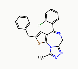 Cc1nnc2n1-c1sc(Cc3ccccc3)cc1C(c1ccccc1Cl)=NC2